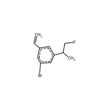 [CH2]C(CF)c1cc(Br)cc(C=C)c1